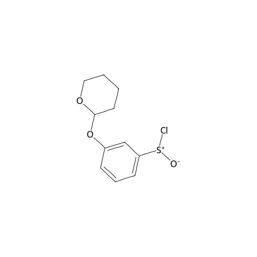 [O-][S+](Cl)c1cccc(OC2CCCCO2)c1